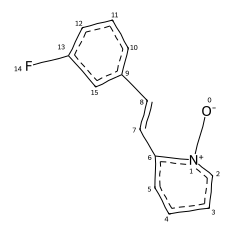 [O-][n+]1ccccc1/C=C/c1cccc(F)c1